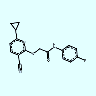 N#Cc1ccc(C2CC2)nc1SCC(=O)Nc1ccc(F)cc1